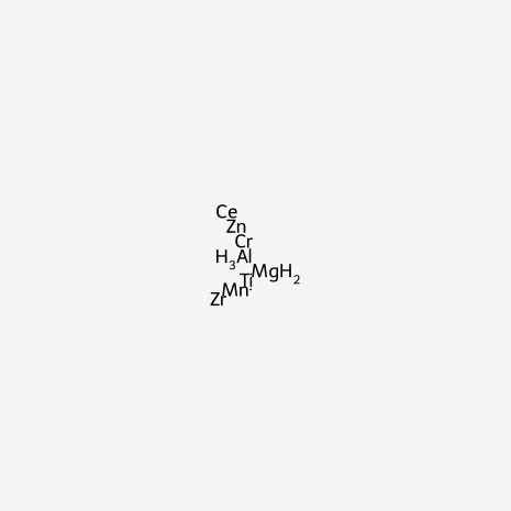 [AlH3].[Ce].[Cr].[MgH2].[Mn].[Ti].[Zn].[Zr]